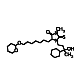 CN1C(=O)C(CCCCCCCOC2CCCCO2)N(CCC(C)(O)C2CCCCC2)C1=S